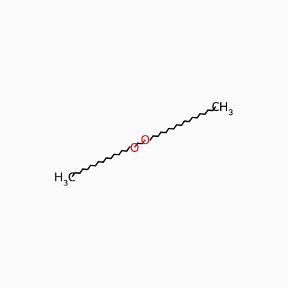 CCCCCCCCCCCCCCCCCCOCCOCCCCCCCCCCCCCCCC